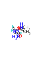 Cc1cc(C)c2c(c1)[C@H](CC(=O)NC(Cc1cc(F)cc(F)c1)c1ncccc1-c1ccc(F)c(C(N)=O)c1)C(=O)N2